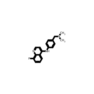 CN(C)Cc1ccc(Nc2ccnc3c(F)cccc23)cc1